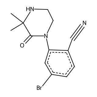 CC1(C)NCCN(c2cc(Br)ccc2C#N)C1=O